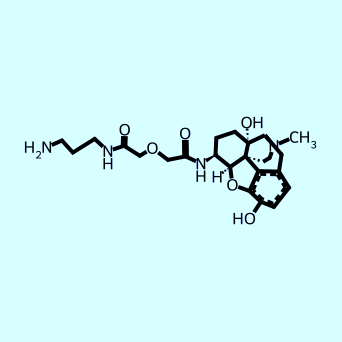 CN1CC[C@]23c4c5ccc(O)c4O[C@H]2[C@@H](NC(=O)COCC(=O)NCCCN)CC[C@@]3(O)C1C5